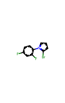 Fc1ccc(-n2cccc2Br)c(F)c1